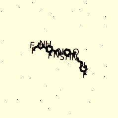 O=C(NCCCN1CCC(F)CC1)c1ccc2c(c1)sc1nc(-c3ccc(C4CC(C(F)F)CN4)cc3F)cn12